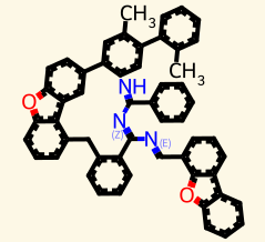 Cc1ccccc1-c1ccc(-c2ccc3oc4cccc(Cc5ccccc5C(=N/C(=N)c5ccccc5)/N=C/c5cccc6c5oc5ccccc56)c4c3c2)cc1C